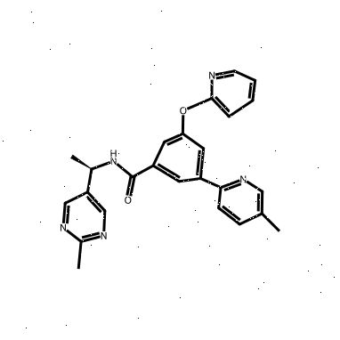 Cc1ccc(-c2cc(Oc3ccccn3)cc(C(=O)N[C@H](C)c3cnc(C)nc3)c2)nc1